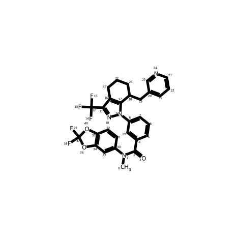 CN(C(=O)c1cccc(-n2nc(C(F)(F)F)c3c2C(Cc2cccnc2)CCC3)c1)c1ccc2c(c1)OC(F)(F)O2